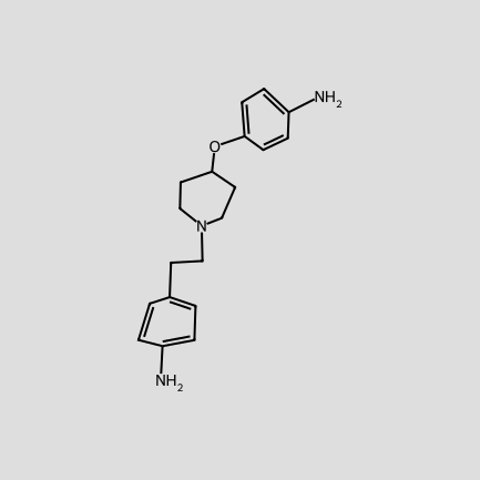 Nc1ccc(CCN2CCC(Oc3ccc(N)cc3)CC2)cc1